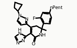 CCCCCc1ccc(C2(C)CC(c3ccn(C4CCC4)n3)=C(c3nnc[nH]3)C(=O)N2)c(F)c1